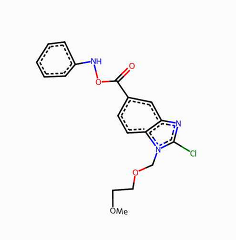 COCCOCn1c(Cl)nc2cc(C(=O)ONc3ccccc3)ccc21